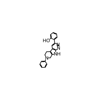 Oc1ccccc1-c1cc2c3c([nH]c2nn1)CN(c1ccccc1)CC3